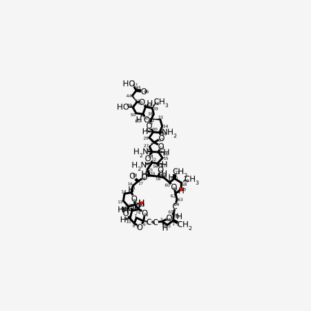 C=C1C[C@@H]2CC[C@]34CC(O3)[C@@H]3O[C@H]5CC[C@H](CC(=O)O[C@@H]6C[C@]7(N)O[C@]8(N)C[C@]9(C[C@@H]%10O[C@@]%11(CC[C@]%10(N)O9)C[C@H](C)[C@@H]9O[C@H](CC(=O)O)[C@H](O)C[C@@H]9O%11)O[C@@H]8C[C@@H]7O[C@H]6C[C@H]6O[C@@H](CC[C@@H]1O2)C[C@@H](C)C6=C)O[C@@H]5[C@H](O4)[C@@H]3O